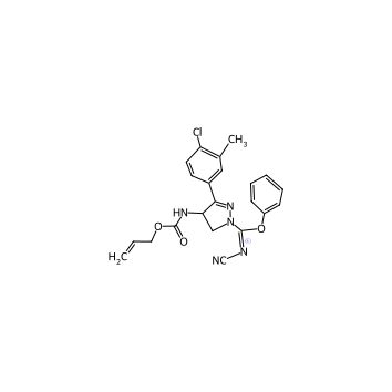 C=CCOC(=O)NC1CN(/C(=N\C#N)Oc2ccccc2)N=C1c1ccc(Cl)c(C)c1